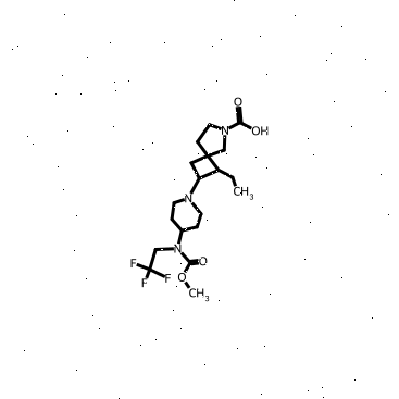 CCC1C(N2CCC(N(CC(F)(F)F)C(=O)OC)CC2)CC12CCN(C(=O)O)C2